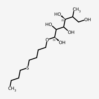 CCCCSCCCCO[C@H](O)C(O)C(O)[C@@H](O)C(C)CO